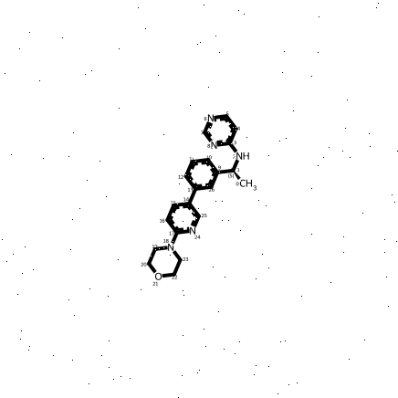 C[C@H](Nc1ccncn1)c1cccc(-c2ccc(N3CCOCC3)nc2)c1